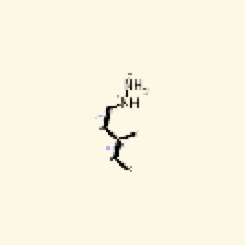 C/C=C(C)/C=C\NN